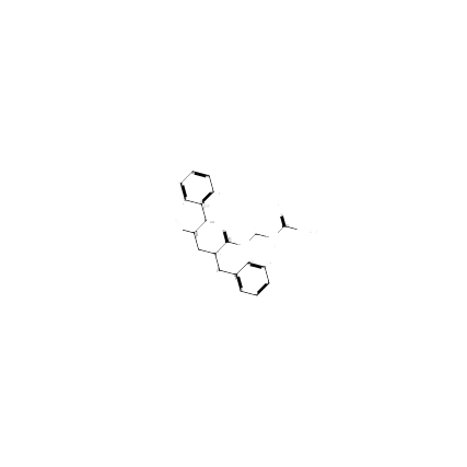 CC(C)(C)C(=O)OCOC(=O)C(Cc1ccccc1)CC(Cc1ccccc1)C(=O)O